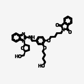 O=C1c2ccccc2C(=O)N1CCCCOc1ccc(CNc2nc3ccccc3n2[C@H]2CC[C@@H](CO)O2)cc1OCCCCO